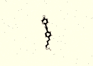 CCCCCc1ccc(C#Cc2ccc(Cl)cn2)cc1